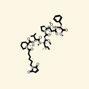 CC[C@H](C)[C@@H]([C@@H](CC(=O)N1CCC[C@H]1[C@H](OC)[C@@H](C)C(=O)N[C@@H](Cc1ccccc1)C(=O)OC)OC)N(C)C(=O)[C@@H](NC(=O)[C@]1(C)CCCCN1C(=O)CCCCCN1C(=O)C=CC1=O)C(C)C